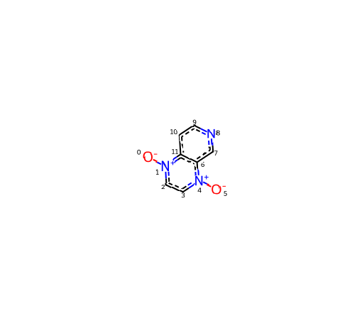 [O-][n+]1cc[n+]([O-])c2cnccc21